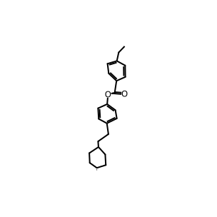 CCc1ccc(C(=O)Oc2ccc(CCC3CC[CH]CC3)cc2)cc1